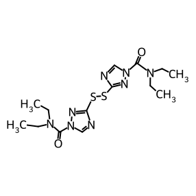 CCN(CC)C(=O)n1cnc(SSc2ncn(C(=O)N(CC)CC)n2)n1